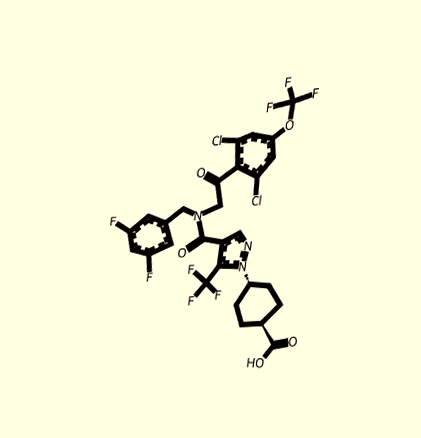 O=C(CN(Cc1cc(F)cc(F)c1)C(=O)c1cnn([C@H]2CC[C@H](C(=O)O)CC2)c1C(F)(F)F)c1c(Cl)cc(OC(F)(F)F)cc1Cl